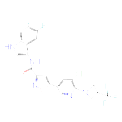 O=C(Nc1c[nH]c2cc(F)c(F)cc12)c1cc(-c2cnc(N3CC(C(F)(F)F)C3)c(Cl)c2)on1